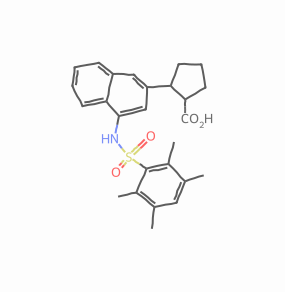 Cc1cc(C)c(C)c(S(=O)(=O)Nc2cc(C3CCCC3C(=O)O)cc3ccccc23)c1C